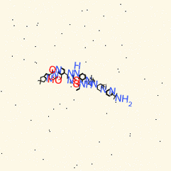 C=CC(=O)Nc1cc(Nc2nc(-c3ccnc(N4CCn5c(cc6c5CC(C)(C)C6)C4=O)c3CO)cn(C)c2=O)ccc1N1CCN(C2CCN(c3ccc(C(C)(C)N)nc3)[C@@H](C)C2)C[C@@H]1C